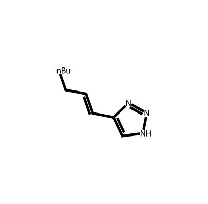 CCCCCC=Cc1c[nH]nn1